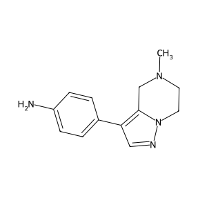 CN1CCn2ncc(-c3ccc(N)cc3)c2C1